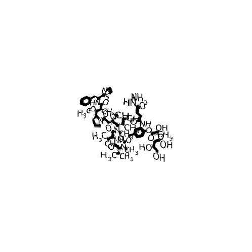 CCC(C)[C@@H]([C@@H](CC(=O)N1CCC[C@H]1[C@H](OC)[C@@H](C)C(=O)N[C@@H](Cc1ccccc1)c1nccs1)OC)N(C)C(=O)[C@@H](NC(=O)[C@H](C(C)C)N(C)C(=O)OCc1ccc(O[C@H](OC(C(=O)O)[C@@H](O)CO)[C@H](C)O)c(NC(=O)CCC(=O)NN)c1)C(C)C